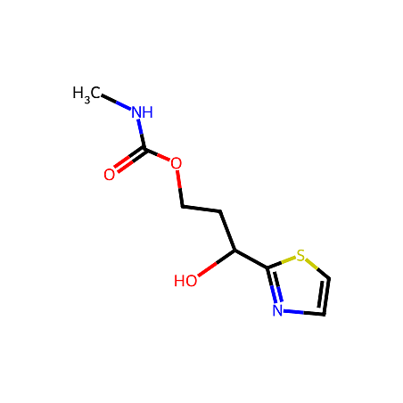 CNC(=O)OCCC(O)c1nccs1